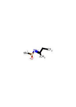 C/C(CC(F)(F)F)=N\[S+]([O-])C(C)(C)C